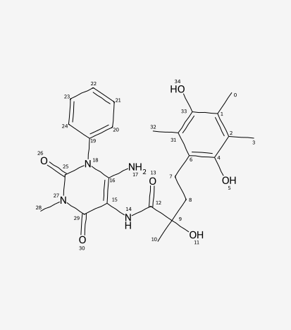 Cc1c(C)c(O)c(CCC(C)(O)C(=O)Nc2c(N)n(-c3ccccc3)c(=O)n(C)c2=O)c(C)c1O